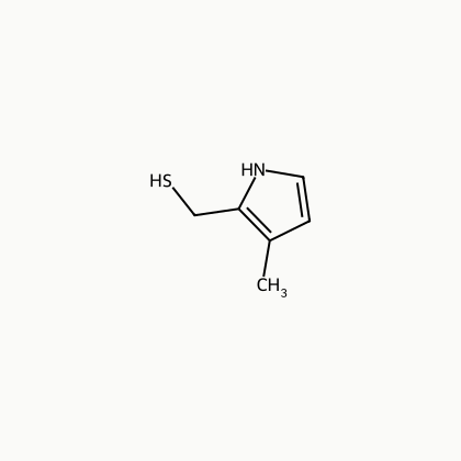 Cc1cc[nH]c1CS